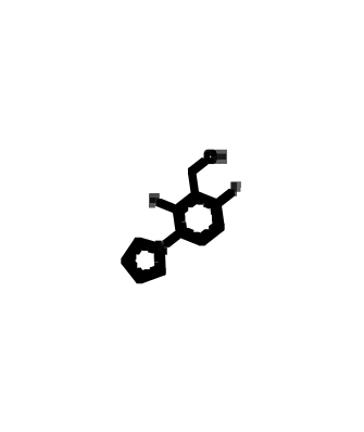 OCc1c(F)ccc(-n2cccc2)c1F